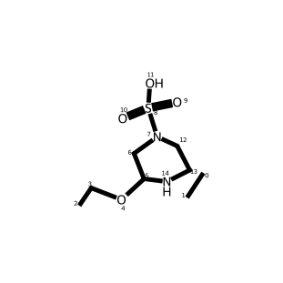 CC.CCOC1CN(S(=O)(=O)O)CCN1